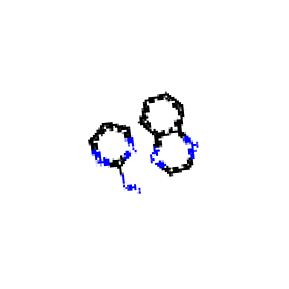 Nc1ncccn1.c1ccc2nccnc2c1